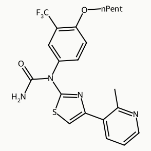 CCCCCOc1ccc(N(C(N)=O)c2nc(-c3cccnc3C)cs2)cc1C(F)(F)F